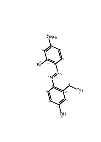 COc1ccc(/N=N/c2ccc(O)cc2CO)c(Br)c1